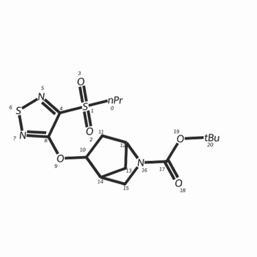 CCCS(=O)(=O)c1nsnc1OC1CC2CC1CN2C(=O)OC(C)(C)C